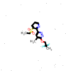 CCS(=O)(=O)c1cccnc1-c1cc(C)c(OCC(C)(F)F)nn1